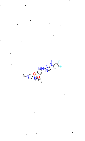 CN(C1CCN(C2CC2)CC1)S(=O)(=O)c1ccc(Nc2nccc(Nc3ccc(F)c(F)c3)n2)cc1